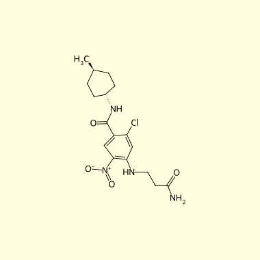 C[C@H]1CC[C@H](NC(=O)c2cc([N+](=O)[O-])c(NCCC(N)=O)cc2Cl)CC1